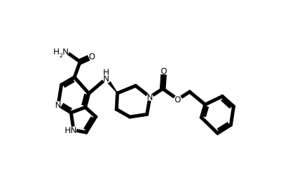 NC(=O)c1cnc2[nH]ccc2c1N[C@@H]1CCCN(C(=O)OCc2ccccc2)C1